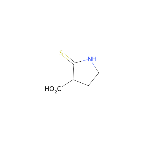 O=C(O)C1CCNC1=S